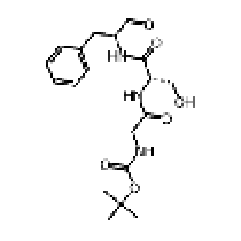 CC(C)(C)OC(=O)NCC(=O)N[C@@H](CO)C(=O)N[C@H](C=O)Cc1ccccc1